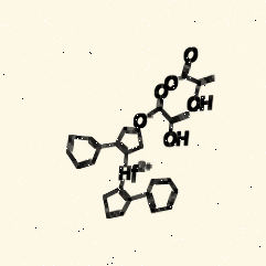 C1=CC(c2ccccc2)=[C]([Hf+2][C]2=C(c3ccccc3)C=CC2)C1.C=C(O)C(=O)[O-].C=C(O)C(=O)[O-]